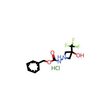 Cl.O=C(NN1CC(O)(C(F)(F)F)C1)OCc1ccccc1